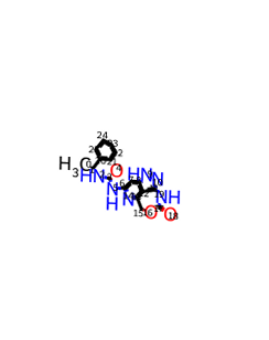 C[C@@H](NC(=O)Nc1cc2[nH]nc3c2c(n1)COC(=O)N3)c1ccccc1